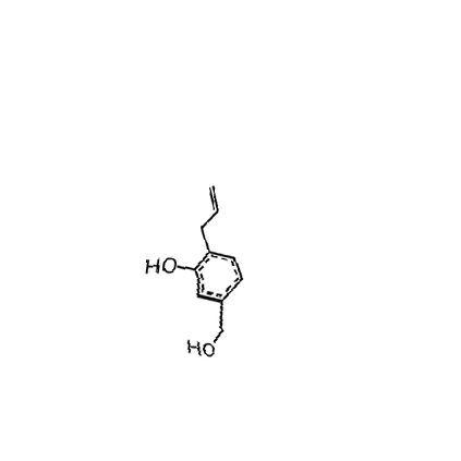 C=CCc1ccc(CO)cc1O